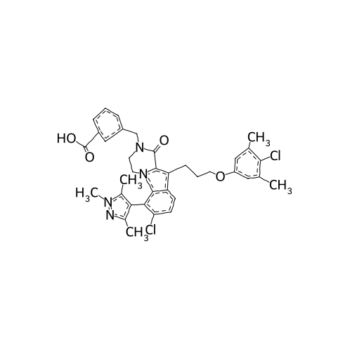 Cc1cc(OCCCc2c3n(c4c(-c5c(C)nn(C)c5C)c(Cl)ccc24)CCN(Cc2cccc(C(=O)O)c2)C3=O)cc(C)c1Cl